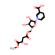 COC(=O)[C@@H](O)CC(=O)OC[C@H]1O[C@@H](N2C=CCC(C(=O)O)=C2)[C@H](O)[C@@H]1O